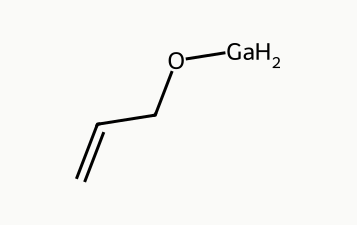 C=CC[O][GaH2]